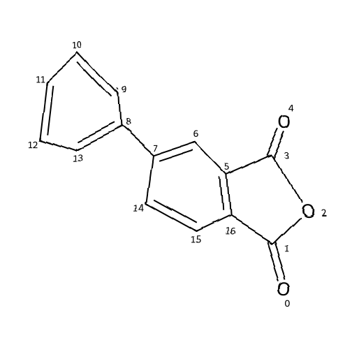 O=C1OC(=O)c2cc(-c3[c]cccc3)ccc21